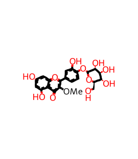 COc1c(-c2ccc(OC3O[C@H](CO)[C@@H](O)[C@H](O)[C@H]3O)c(O)c2)oc2cc(O)cc(O)c2c1=O